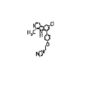 Cc1nccc2c1[nH]c1c(-c3ccc(OCCn4ccnc4)cc3)cc(Cl)cc12